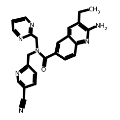 CCc1cc2cc(C(=O)N(Cc3ccc(C#N)cn3)Cc3ncccn3)ccc2nc1N